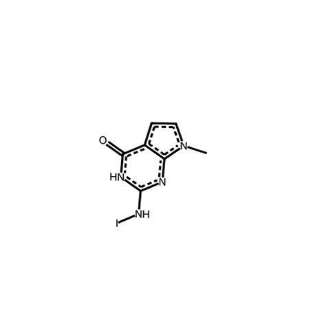 Cn1ccc2c(=O)[nH]c(NI)nc21